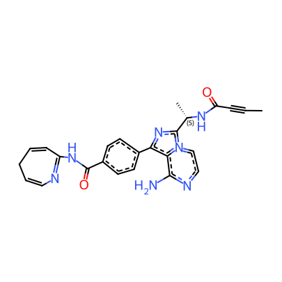 CC#CC(=O)N[C@@H](C)c1nc(-c2ccc(C(=O)NC3=NC=CCC=C3)cc2)c2c(N)nccn12